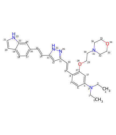 CCN(CC)c1ccc(C=Cc2cc(C=Cc3ccc4cc[nH]c4c3)[nH]n2)c(OCCN2CCOCC2)c1